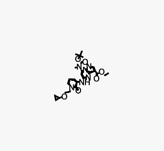 CCOC(=O)c1cnn2c(N(C)C(=O)OC(C)(C)C)cc(Nc3cccn(CCOC4CC4)c3=O)nc12